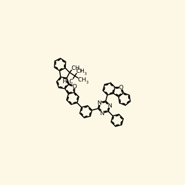 CC(C)(C)C1(C)c2ccccc2-c2ccc3c(oc4cc(-c5cccc(-c6nc(-c7ccccc7)nc(-c7cccc8oc9ccccc9c78)n6)c5)ccc43)c21